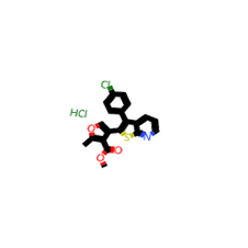 COC(=O)c1c(-c2sc3ncccc3c2-c2ccc(Cl)cc2)coc1C.Cl